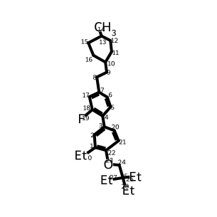 CCc1cc(-c2ccc(CCC3CCC(C)CC3)cc2F)ccc1OCC(CC)(CC)CC